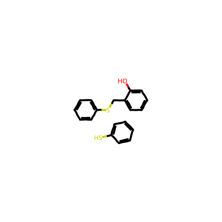 Oc1ccccc1CSc1ccccc1.Sc1ccccc1